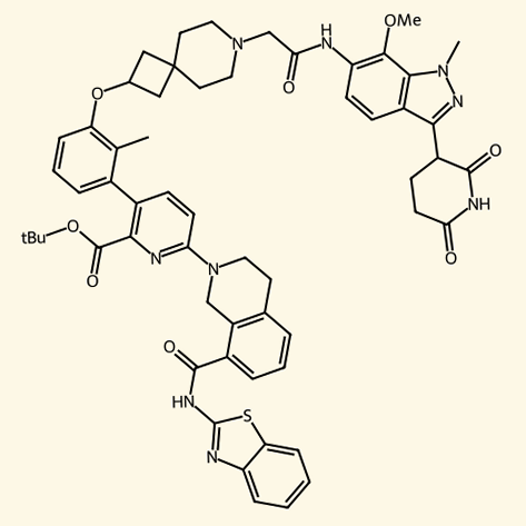 COc1c(NC(=O)CN2CCC3(CC2)CC(Oc2cccc(-c4ccc(N5CCc6cccc(C(=O)Nc7nc8ccccc8s7)c6C5)nc4C(=O)OC(C)(C)C)c2C)C3)ccc2c(C3CCC(=O)NC3=O)nn(C)c12